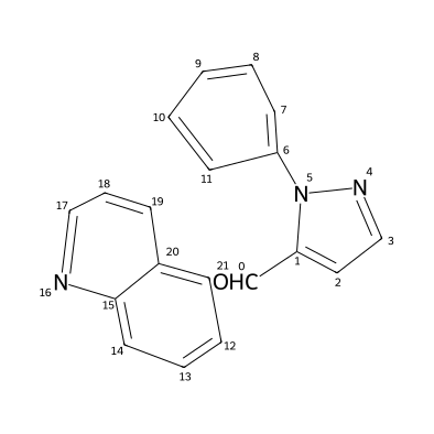 O=Cc1ccnn1-c1ccccc1.c1ccc2ncccc2c1